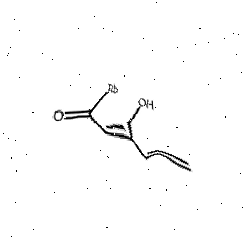 C=C/C(O)=C/[C](=O)[Rb]